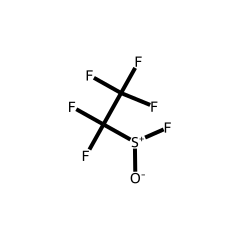 [O-][S+](F)C(F)(F)C(F)(F)F